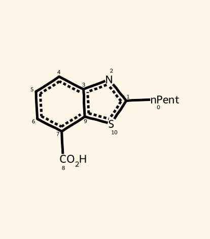 CCCCCc1nc2cccc(C(=O)O)c2s1